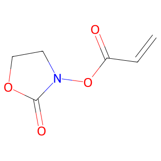 C=CC(=O)ON1CCOC1=O